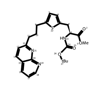 COC(=O)[C@H](Cc1ccc(CCCc2ccc3cccnc3n2)s1)NC(=O)OC(C)(C)C